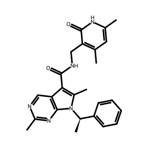 Cc1ncc2c(C(=O)NCc3c(C)cc(C)[nH]c3=O)c(C)n([C@H](C)c3ccccc3)c2n1